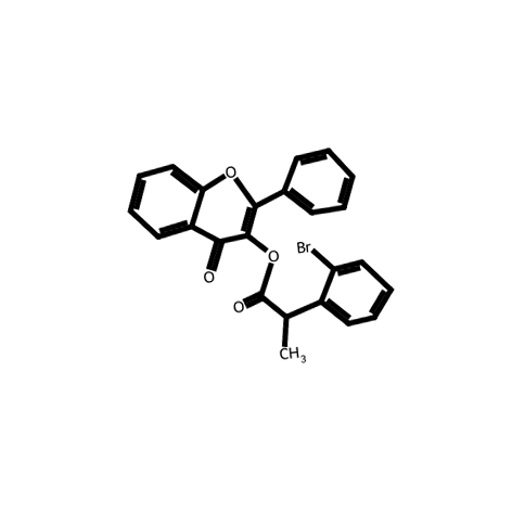 CC(C(=O)Oc1c(-c2ccccc2)oc2ccccc2c1=O)c1ccccc1Br